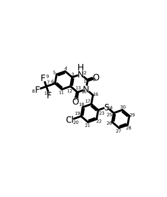 O=c1[nH]c2ccc(C(F)(F)F)cc2c(=O)n1Cc1cc(Cl)ccc1Sc1ccccc1